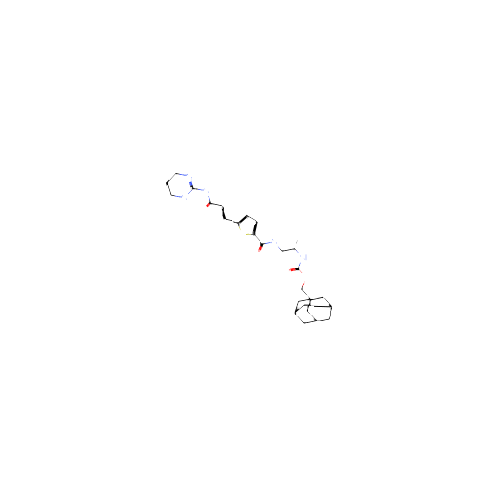 O=C(/C=C/c1ccc(C(=O)NC[C@H](NC(=O)OCC23CC4CC(CC(C4)C2)C3)C(=O)O)s1)NC1=NCCCN1